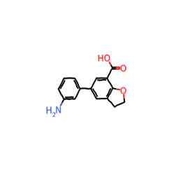 Nc1cccc(-c2cc3c(c(C(=O)O)c2)OCC3)c1